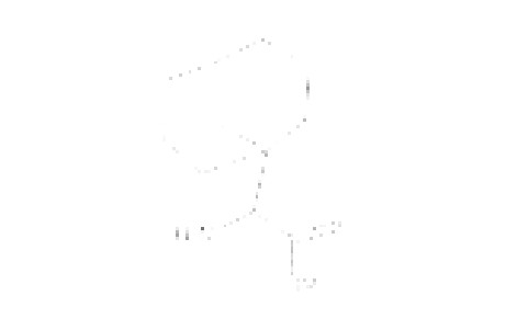 NC(C(=O)O)C12CCCC(CCC1)C2